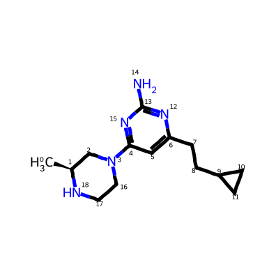 C[C@H]1CN(c2cc(CCC3CC3)nc(N)n2)CCN1